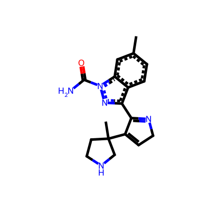 Cc1ccc2c(C3=NCC=C3C3(C)CCNC3)nn(C(N)=O)c2c1